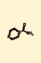 NC(=O)[n+]1ccncc1